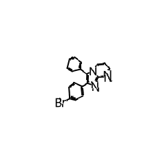 Brc1ccc(-c2nc3ncccn3c2-c2ccccc2)cc1